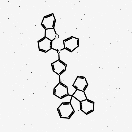 c1ccc(N(c2ccc(-c3cccc(C4(c5ccccc5)c5ccccc5-c5ccccc54)c3)cc2)c2cccc3c2oc2ccccc23)cc1